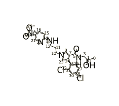 C[C@@H](O)CNC(=O)c1cn(CCCNc2ccc([N+](=O)[O-])cn2)cc1-c1ccc(Cl)cc1Cl